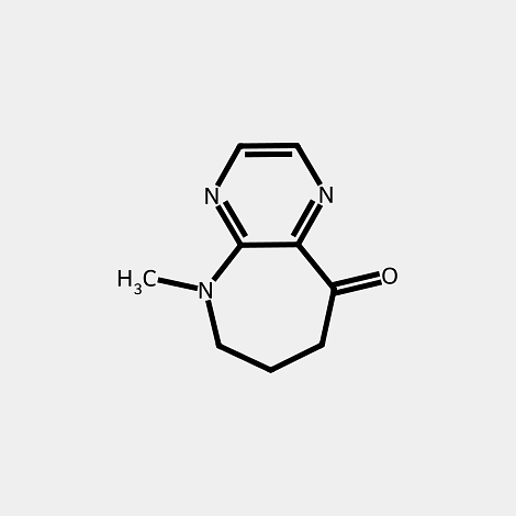 CN1CCCC(=O)c2nccnc21